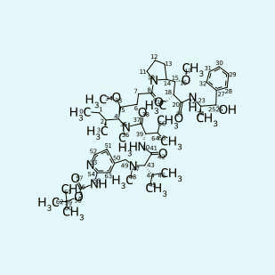 CC[C@H](C)[C@@H](C(CCC(=O)N1CCCC1[C@H](OC)[C@@H](C)C(=O)N[C@H](C)[C@@H](O)c1ccccc1)OC)N(C)C(=O)[C@@H](NC(=O)[C@H](C(C)C)N(C)Cc1ccnc(NC(=O)OC(C)(C)C)c1)C(C)C